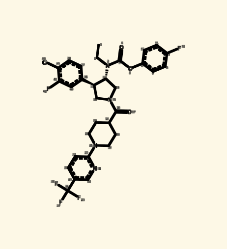 CCN(C(=O)Oc1ccc(F)cc1)[C@@H]1CN(C(=O)C2CCN(c3ccc(C(F)(F)F)cn3)CC2)C[C@H]1c1ccc(Cl)c(F)c1